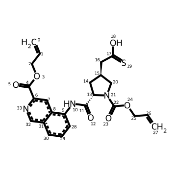 C=CCOC(=O)c1cc2c(NC(=O)[C@@H]3C[C@@H](CC(O)=S)CN3C(=O)OCC=C)cccc2cn1